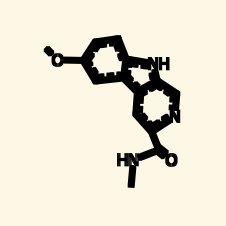 CNC(=O)c1cc2c(cn1)[nH]c1ccc(OC)cc12